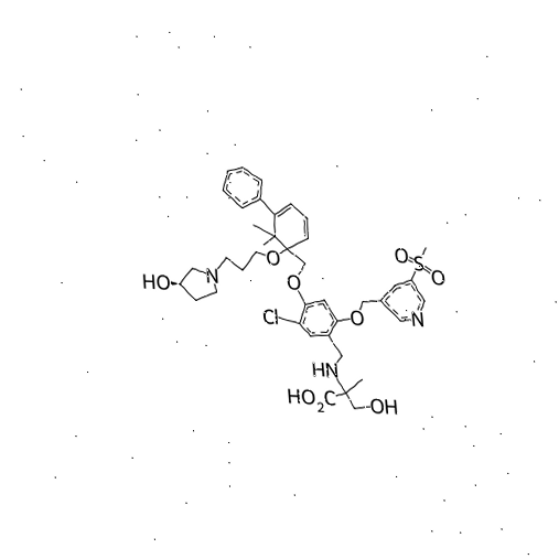 CC(CO)(NCc1cc(Cl)c(OCC2(OCCCN3CC[C@@H](O)C3)C=CC=C(c3ccccc3)C2(C)C)cc1OCc1cncc(S(C)(=O)=O)c1)C(=O)O